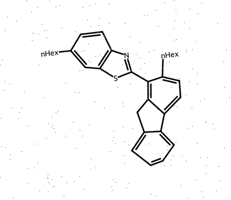 CCCCCCc1ccc2nc(-c3c(CCCCCC)ccc4c3Cc3ccccc3-4)sc2c1